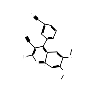 COc1cc2nc(N)c(C#N)c(-c3cccc(C#N)c3)c2cc1OC